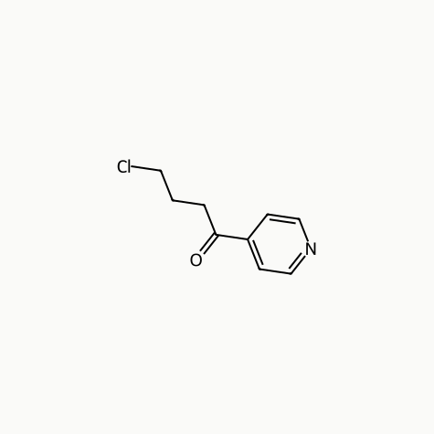 O=C(CCCCl)c1ccncc1